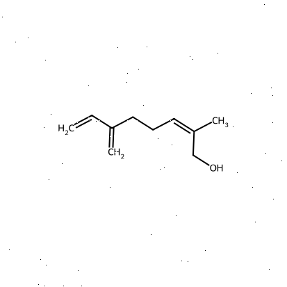 C=CC(=C)CCC=C(C)CO